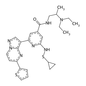 CCN(CC)C(C)CNC(=O)c1cc(NSC2CC2)nc(-c2cnn3ccc(-c4cccs4)nc23)c1